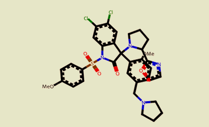 COc1ccc(S(=O)(=O)N2C(=O)C(c3cc(CN4CCCC4)ccc3OC)(N3CCCC3c3ncco3)c3cc(Cl)c(Cl)cc32)cc1